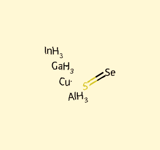 S=[Se].[AlH3].[Cu].[GaH3].[InH3]